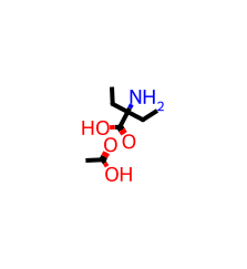 CC(=O)O.CCC(N)(CC)C(=O)O